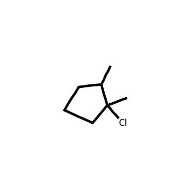 CC1CCCC1(C)Cl